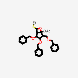 CCSC1OC2(OC(C)=O)C(COCc3ccccc3)C(OCc3ccccc3)C(OCc3ccccc3)C12